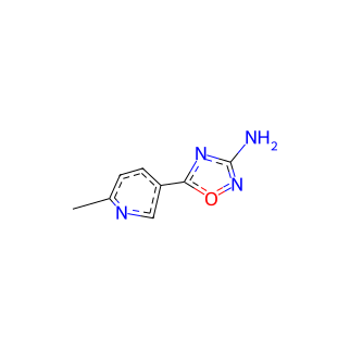 Cc1ccc(-c2nc(N)no2)cn1